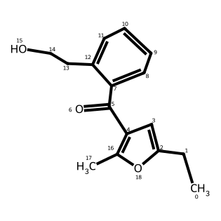 CCc1cc(C(=O)c2ccccc2CCO)c(C)o1